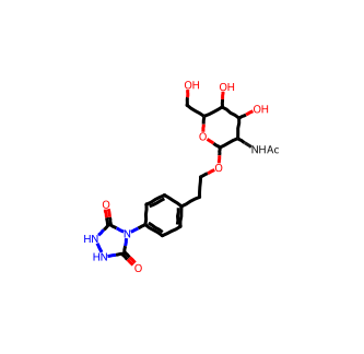 CC(=O)NC1C(OCCc2ccc(-n3c(=O)[nH][nH]c3=O)cc2)OC(CO)C(O)C1O